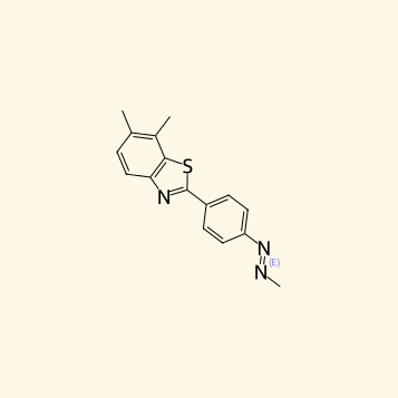 C/N=N/c1ccc(-c2nc3ccc(C)c(C)c3s2)cc1